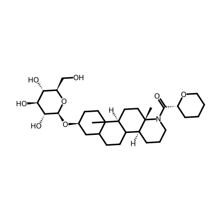 CC12CC[C@H](O[C@@H]3O[C@H](CO)[C@@H](O)[C@H](O)[C@H]3O)CC1CCC1[C@@H]2CC[C@@]2(C)[C@H]1CCCN2C(=O)[C@H]1CCCCO1